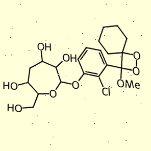 COC1(c2cccc(OC3OC(CO)C(O)CC(O)C3O)c2Cl)OOC12CCCCC2